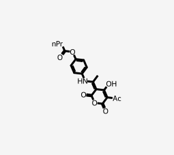 CCCC(=O)Oc1ccc(NC(C)=C2C(=O)OC(=O)C(C(C)=O)=C2O)cc1